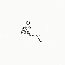 CC(C)=CCCC(C)=CCCC(C)=CCSC[C@H](NC(=O)c1ccccc1)C(=O)O